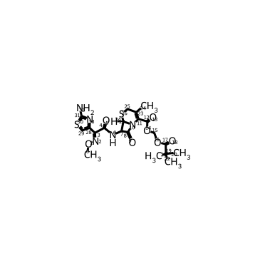 CON=C(C(=O)NC1C(=O)N2C(C(=O)OCOC(=O)C(C)(C)C)=C(C)CS[C@@H]12)c1csc(N)n1